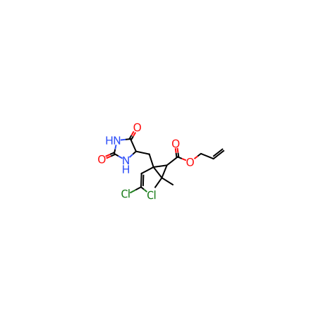 C=CCOC(=O)C1C(C)(C)C1(C=C(Cl)Cl)CC1NC(=O)NC1=O